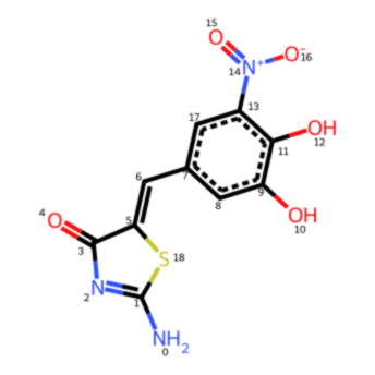 NC1=NC(=O)/C(=C/c2cc(O)c(O)c([N+](=O)[O-])c2)S1